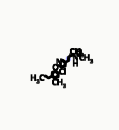 CCCc1cc(Oc2ccc(/C=C/[C@H](C)NC(C)=O)cn2)c(Cl)cc1C